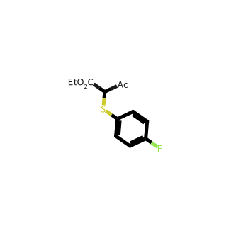 CCOC(=O)C(Sc1ccc(F)cc1)C(C)=O